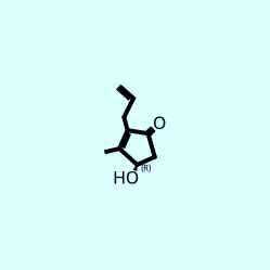 C=CCC1=C(C)[C@H](O)CC1=O